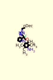 CCCCCCCCCCCCn1nnc(C(F)(C(=O)Nc2c(C)c(C)c(N)c(C)c2C)c2ccccc2)n1